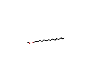 CC=CCC=CCCCCCCCCCCOC(C)=O